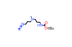 CN(CCCN=[N+]=[N-])CCCNC(=O)OC(C)(C)C